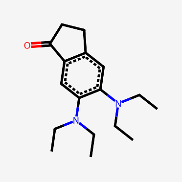 CCN(CC)c1cc2c(cc1N(CC)CC)C(=O)CC2